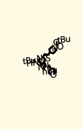 CCCCc1nc2c(NC(C)(C)C)nc3cc(C4CCN(C(=O)OC(C)(C)C)CC4)sc3c2n1CC1CCOCC1